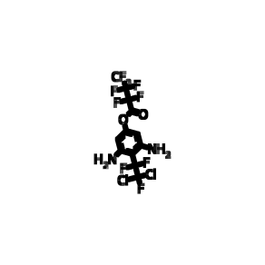 Nc1cc(OC(=O)C(F)(F)C(F)(F)C(F)(F)F)cc(N)c1C(F)(F)C(F)(Cl)Cl